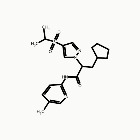 Cc1ccc(NC(=O)C(CC2CCCC2)n2cc(S(=O)(=O)C(C)C)cn2)nc1